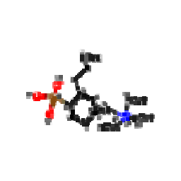 CCCCCCCCCCCCc1ccccc1S(=O)(=O)[O-].CCCCCCCC[N+](CCCCCCCC)(CCCCCCCC)CCCCCCCC